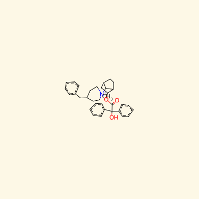 C[N+]1(C2C3CCC2C(OC(=O)C(O)(c2ccccc2)c2ccccc2)C3)CCC(Cc2ccccc2)CC1